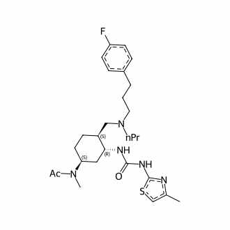 CCCN(CCCc1ccc(F)cc1)C[C@@H]1CC[C@H](N(C)C(C)=O)C[C@H]1NC(=O)Nc1nc(C)cs1